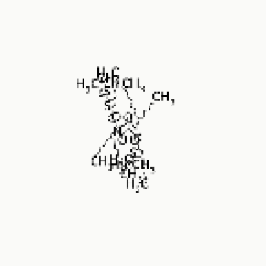 CCCCCCCCC(CCCCCC)CN1C(=O)C2=C(c3ccc(-c4cc(CCCCCC)c(C(C)(C)C)s4)o3)N(CC(CCCCCC)CCCCCCCC)C(=O)C2=C1c1ccc(-c2cc(CCCCCC)c(-c3ccc(C(C)(C)C)s3)s2)o1